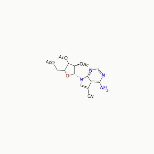 CC(=O)OCC1O[C@@H](n2cc(C#N)c3c(N)ncnc32)[C@H](OC(C)=O)C1OC(C)=O